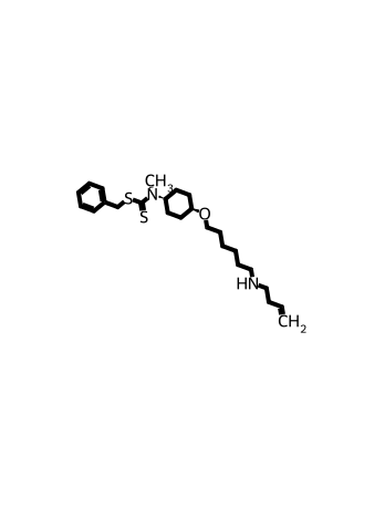 C=CCCNCCCCCCO[C@H]1CC[C@H](N(C)C(=S)SCc2ccccc2)CC1